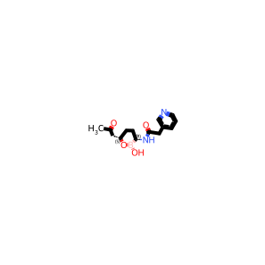 CC(=O)C[C@@H]1CC[C@H](NC(=O)Cc2cccnc2)B(O)O1